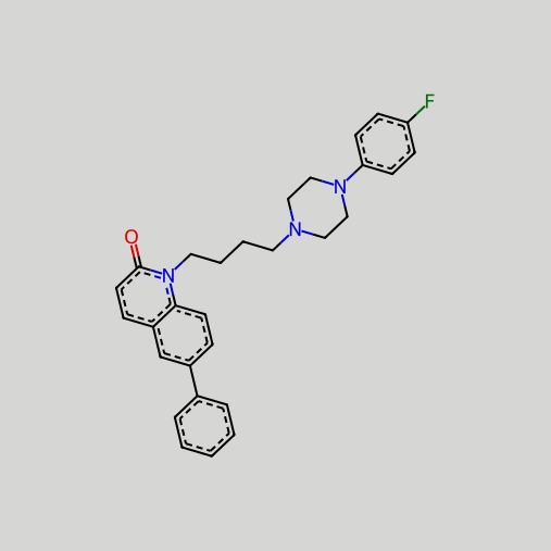 O=c1ccc2cc(-c3ccccc3)ccc2n1CCCCN1CCN(c2ccc(F)cc2)CC1